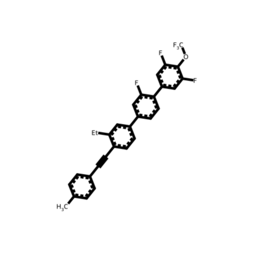 CCc1cc(-c2ccc(-c3cc(F)c(OC(F)(F)F)c(F)c3)c(F)c2)ccc1C#Cc1ccc(C)cc1